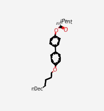 CCCCCCCCCCCCCCOc1ccc(-c2ccc(OC(=O)[C@@H](C)CCC)cc2)cc1